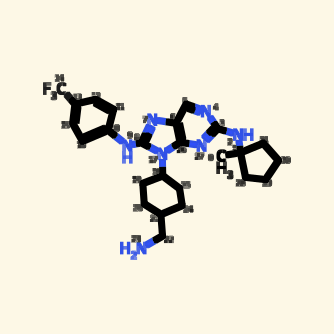 CC1(Nc2ncc3nc(Nc4ccc(C(F)(F)F)cc4)n(C4CCC(CN)CC4)c3n2)CCCC1